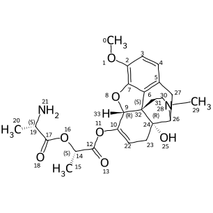 COc1ccc2c3c1O[C@H]1C(OC(=O)[C@H](C)OC(=O)[C@H](C)N)=CC[C@]4(O)C(C2)N(C)CC[C@]314